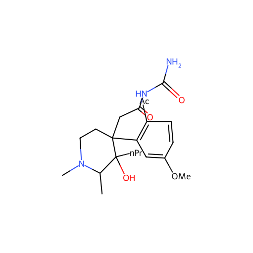 CCCC1(O)C(C)N(C)CCC1(CC(=O)NC(N)=O)c1cc(OC)ccc1C(C)=O